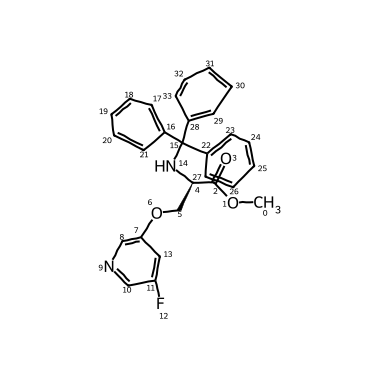 COC(=O)[C@@H](COc1cncc(F)c1)NC(c1ccccc1)(c1ccccc1)c1ccccc1